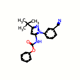 CC(C)(C)c1cc(NC(=O)Oc2ccccc2)n(-c2cccc(C#N)c2)n1